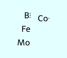 [B].[Co].[Fe].[Mo]